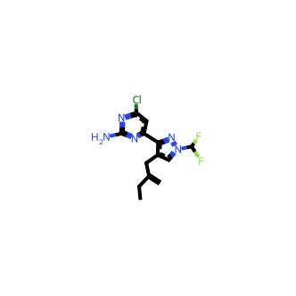 C=C(CC)Cc1cn(C(F)F)nc1-c1cc(Cl)nc(N)n1